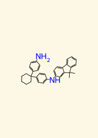 CC1(C)c2ccccc2-c2ccc(Nc3ccc(C4(c5ccc(N)cc5)CCCCC4)cc3)cc21